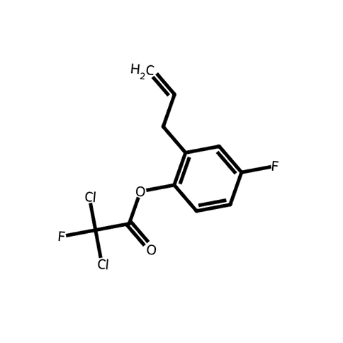 C=CCc1cc(F)ccc1OC(=O)C(F)(Cl)Cl